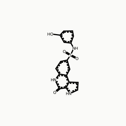 O=c1[nH]c2ccc(S(=O)(=O)Nc3cccc(O)c3)cc2c2cc[nH]c12